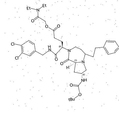 CCN(CC)C(=O)COC(=O)CC[C@H](C(=O)NCc1ccc(Cl)c(Cl)c1)N1CCC(CCc2ccccc2)N2C[C@H](NC(=O)OC(C)(C)C)C[C@H]2C1=O